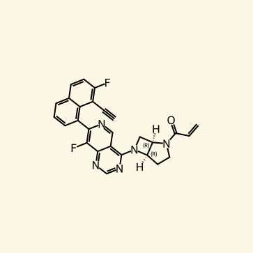 C#Cc1c(F)ccc2cccc(-c3ncc4c(N5C[C@@H]6[C@H]5CCN6C(=O)C=C)ncnc4c3F)c12